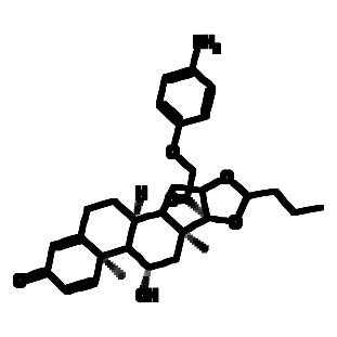 CCCC1OC2CC3[C@@H]4CCC5=CC(=O)C=C[C@]5(C)C4[C@@H](O)C[C@]3(C)[C@]2(C(=O)COc2ccc(N)cc2)O1